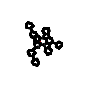 c1ccc(-c2ccc(-c3cc(-c4cccc(-c5ccccc5)c4)nc(-n4c5ccccc5c5c(-c6ccccc6)cc6c7ccccc7n(-c7ccccc7)c6c54)n3)cc2)cc1